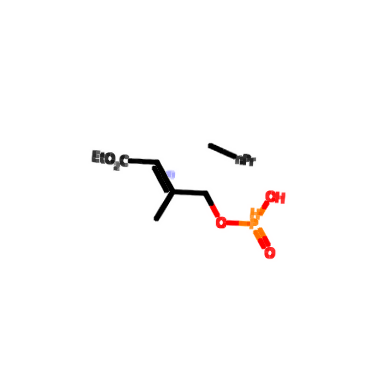 CCCC.CCOC(=O)/C=C(\C)CO[PH](=O)O